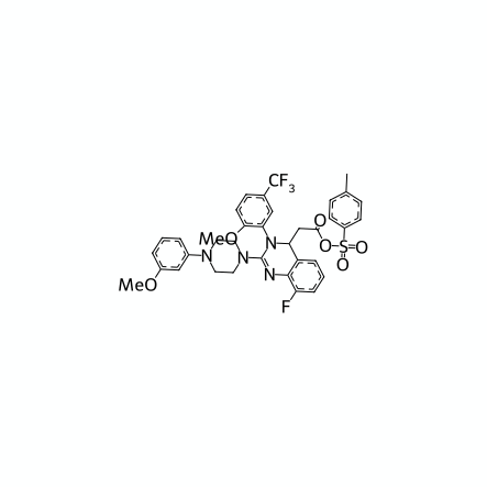 COc1cccc(N2CCN(C3=Nc4c(F)cccc4C(CC(=O)OS(=O)(=O)c4ccc(C)cc4)N3c3cc(C(F)(F)F)ccc3OC)CC2)c1